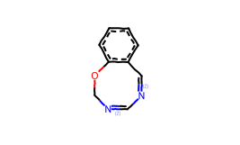 C1=N\C=N/COc2ccccc2/1